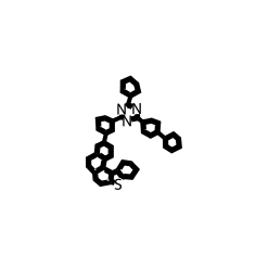 c1ccc(-c2ccc(-c3nc(-c4ccccc4)nc(-c4cccc(-c5ccc6c(ccc7ccc8sc9ccccc9c8c76)c5)c4)n3)cc2)cc1